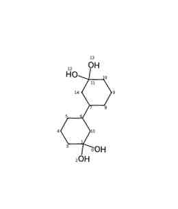 OC1(O)CCCC(C2CCCC(O)(O)C2)C1